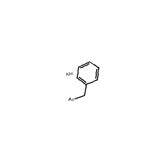 CC(=O)Cc1ccccc1.[KH]